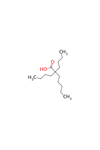 CCCCCC(CCCC)(CCCC)C(=O)O